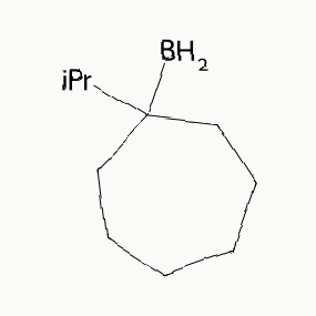 BC1(C(C)C)CCCCCC1